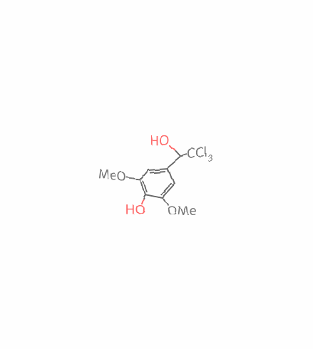 COc1cc(C(O)C(Cl)(Cl)Cl)cc(OC)c1O